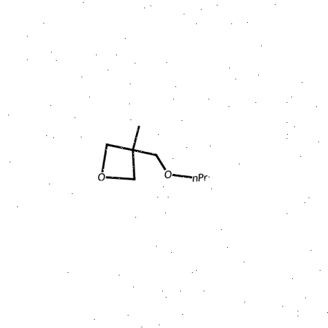 CC[CH]OCC1(C)COC1